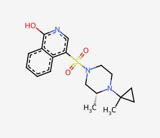 C[C@@H]1CN(S(=O)(=O)c2cnc(O)c3ccccc23)CCN1C1(C)CC1